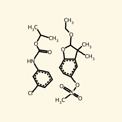 CC(C)OC(=O)Nc1cccc(Cl)c1.CCOC1Oc2ccc(OS(C)(=O)=O)cc2C1(C)C